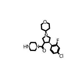 O=C(C1CN(C2CCOCC2)C[C@H]1c1ccc(Cl)cc1F)N1CCNCC1